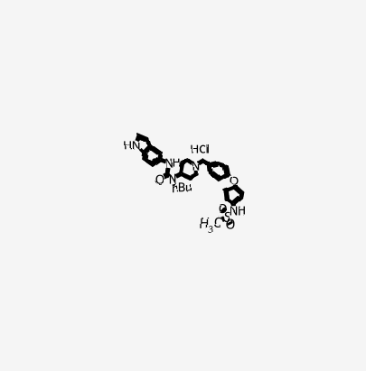 CCCCN(C(=O)Nc1ccc2[nH]ccc2c1)C1CCN(Cc2ccc(Oc3ccc(NS(C)(=O)=O)cc3)cc2)CC1.Cl